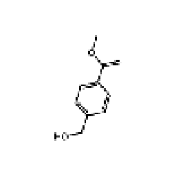 C=C(OC)c1ccc(CO)cc1